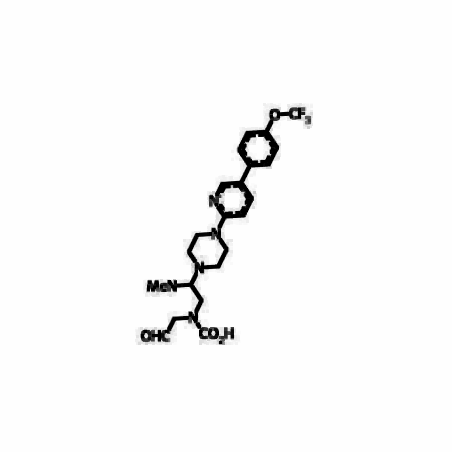 CNC(CN(CC=O)C(=O)O)N1CCN(c2ccc(-c3ccc(OC(F)(F)F)cc3)cn2)CC1